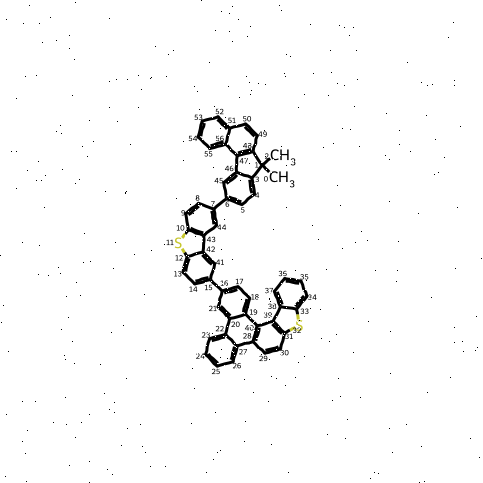 CC1(C)c2ccc(-c3ccc4sc5ccc(-c6ccc7c(c6)c6ccccc6c6ccc8sc9ccccc9c8c67)cc5c4c3)cc2-c2c1ccc1ccccc21